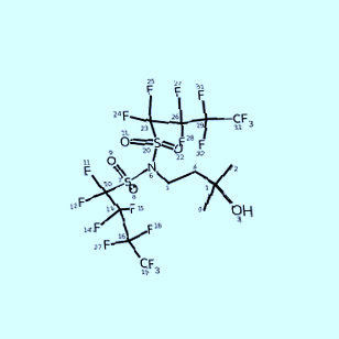 CC(C)(O)CCN(S(=O)(=O)C(F)(F)C(F)(F)C(F)(F)C(F)(F)F)S(=O)(=O)C(F)(F)C(F)(F)C(F)(F)C(F)(F)F